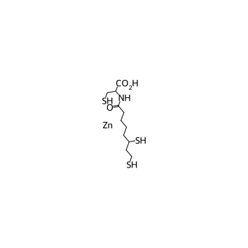 O=C(CCCCC(S)CCS)NC(CS)C(=O)O.[Zn]